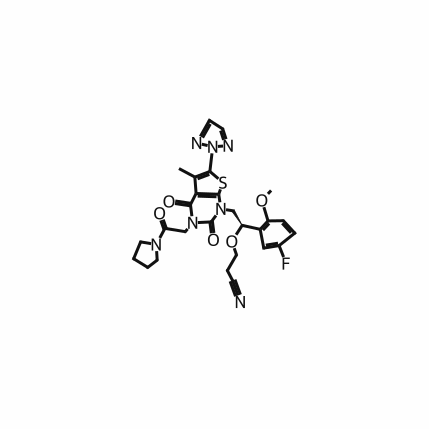 COc1ccc(F)cc1[C@H](Cn1c(=O)n(CC(=O)N2CCCC2)c(=O)c2c(C)c(-n3nccn3)sc21)OCCC#N